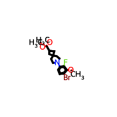 COc1c(Br)ccc(N2CCC3(CC2)CC(C(OC)OC)C3)c1F